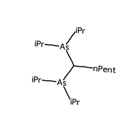 CCCCCC([As](C(C)C)C(C)C)[As](C(C)C)C(C)C